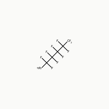 CC[CH]C(F)(F)C(F)(F)C(F)(F)C(F)(F)C(F)(F)F